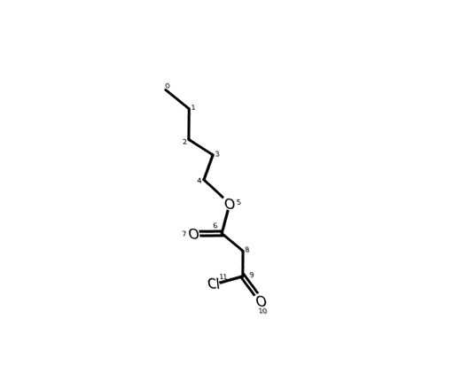 CCCCCOC(=O)CC(=O)Cl